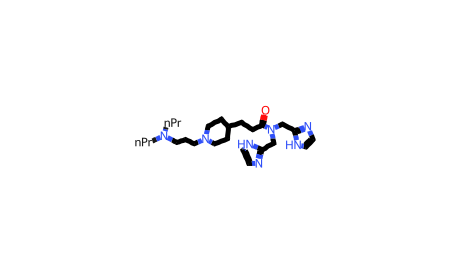 CCCN(CCC)CCCN1CCC(CCC(=O)N(Cc2ncc[nH]2)Cc2ncc[nH]2)CC1